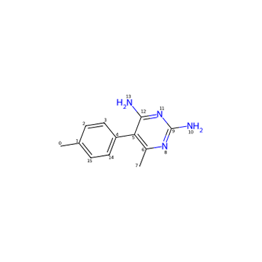 Cc1ccc(-c2c(C)nc(N)nc2N)cc1